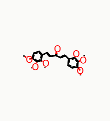 COc1ccc(C=CC(=O)C=Cc2ccc(OC)c(OC)c2OC)c(OC)c1OC